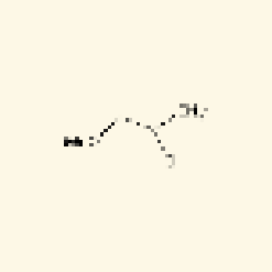 [CH2]C(Cl)COC